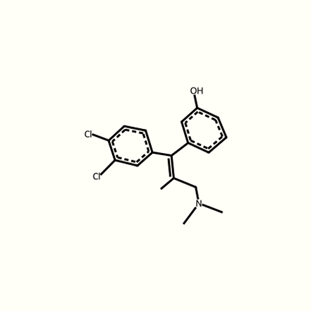 C/C(CN(C)C)=C(/c1cccc(O)c1)c1ccc(Cl)c(Cl)c1